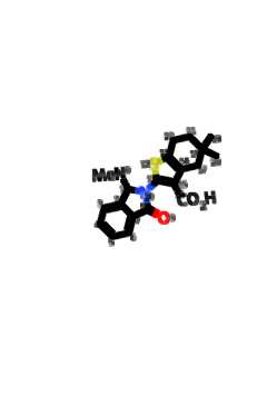 CNC1c2ccccc2C(=O)N1c1sc2c(c1C(=O)O)CC(C)(C)CC2